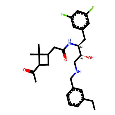 CCc1cccc(CNC[C@@H](O)[C@H](Cc2cc(F)cc(F)c2)NC(=O)CC2CC(C(C)=O)C2(C)C)c1